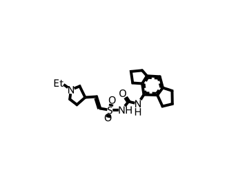 CCN1CCC(C=CS(=O)(=O)NC(=O)Nc2c3c(cc4c2CCC4)CCC3)C1